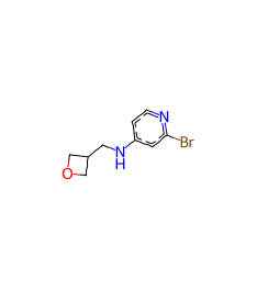 Brc1cc(NCC2COC2)ccn1